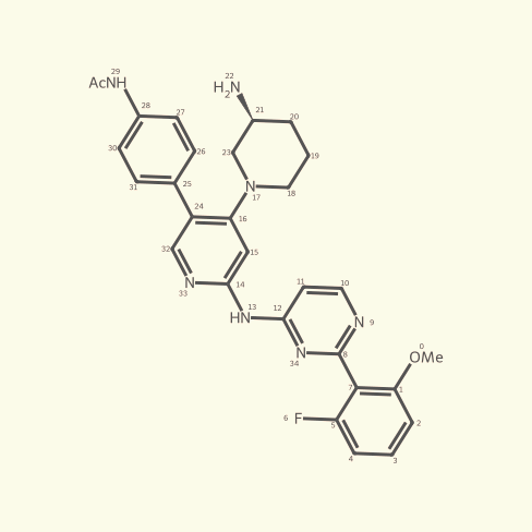 COc1cccc(F)c1-c1nccc(Nc2cc(N3CCC[C@H](N)C3)c(-c3ccc(NC(C)=O)cc3)cn2)n1